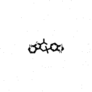 CC(C)c1sc2ncccc2c1CC(C)(C)c1ccc2scnc2c1